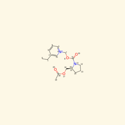 CCc1ccc[n+](COC(=O)N2CCC[C@H]2COC(C)=O)c1